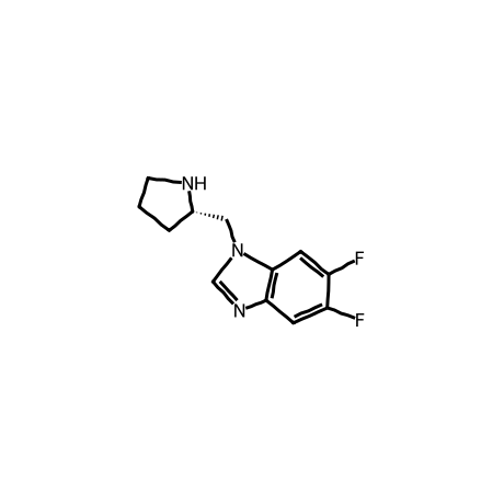 Fc1cc2ncn(C[C@@H]3CCCN3)c2cc1F